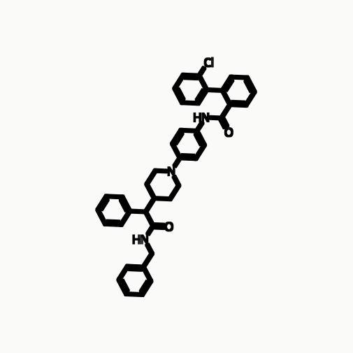 O=C(Nc1ccc(N2CCC(C(C(=O)NCc3ccccc3)c3ccccc3)CC2)cc1)c1ccccc1-c1ccccc1Cl